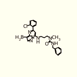 Bc1cnn2c(NCCCN(C)C(=O)NCc3ccccc3)cc(-c3ccccc3Cl)nc12